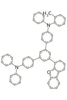 Cc1ccccc1N(c1ccccc1)c1ccc(-c2cc(-c3ccc(N(c4ccccc4)c4ccccc4)cc3)cc(-c3cccc4c3oc3ccccc34)c2)cc1